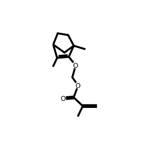 C=C(C)C(=O)OCOC1=C(C)C2CCC1(C)C2